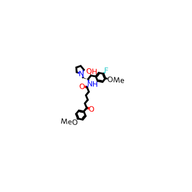 COc1ccc(C(=O)CCCCC(=O)N[C@H](CN2CCCC2)[C@H](O)c2ccc(OC)c(F)c2)cc1